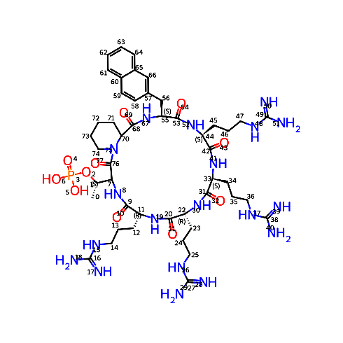 C[C@H](OP(=O)(O)O)C1NC(=O)[C@@H](CCCNC(=N)N)NC(=O)[C@@H](CCCNC(=N)N)NC(=O)[C@H](CCCNC(=N)N)NC(=O)[C@H](CCCNC(=N)N)NC(=O)[C@H](Cc2ccc3ccccc3c2)NC(=O)C2CCCCN2C1=O